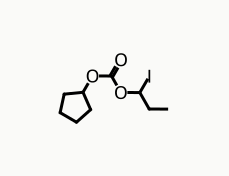 CCC(I)OC(=O)OC1CCCC1